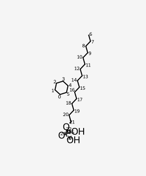 C1CCCCC1.CCCCCCCCCCCCCCCCOP(=O)(O)O